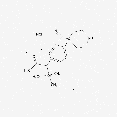 CC(=O)C(c1ccc(C2(C#N)CCNCC2)cc1)[Si](C)(C)C.Cl